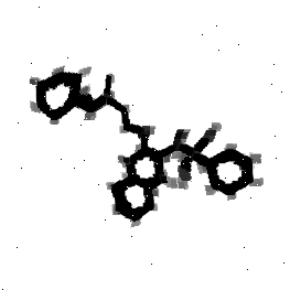 CN(CCOc1nc2ccccc2nc1NS(=O)(=O)c1ccccc1)Cc1ccccc1